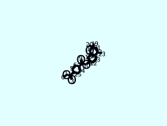 COC(=O)c1ccc(C(=O)Oc2ccc3c(c2)OC(C)(C)C=C3C)cc1